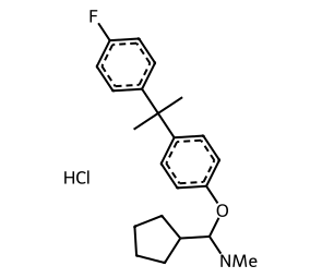 CNC(Oc1ccc(C(C)(C)c2ccc(F)cc2)cc1)C1CCCC1.Cl